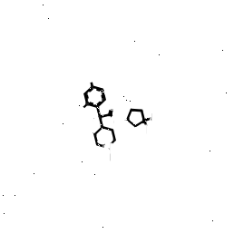 O=C(O[C@@H]1CCC(F)(F)C1)[C@](O)(c1ccc(F)cc1F)C1CCNCC1